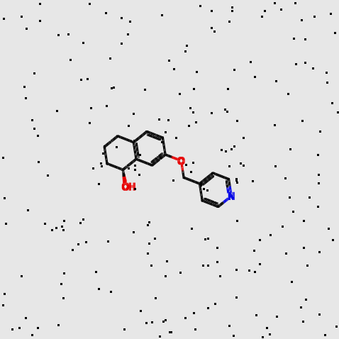 O[C@H]1CCCc2ccc(OCc3ccncc3)cc21